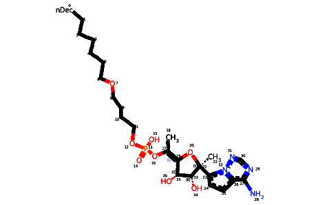 CCCCCCCCCCCCCCCCOCCCCOP(=O)(O)O/C(C)=C1/O[C@@](C)(c2ccc3c(N)ncnn23)[C@H](O)[C@@H]1O